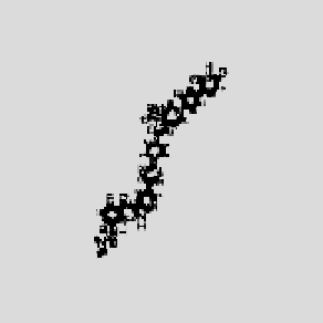 CCN(C)S(=O)(=O)Nc1ccc(F)c(C(=O)c2c[nH]c3ncc(-c4cnc(N5CCN(C(=O)CC6(OP(=O)(O)O)CCN(c7ccc(C8CCC(=O)NC8=O)cc7F)CC6)CC5)nc4)cc23)c1F